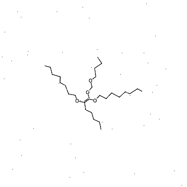 CCCCCCCCOC(CCCCC)=C(OCCCCCCCC)OCOCCCC